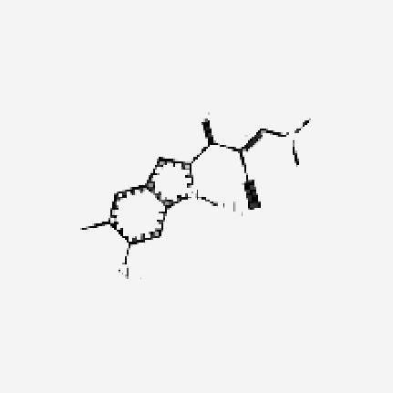 C#C/C(=C\N(C)C)C(=O)c1cc2cc(C)c(N)cc2n1P